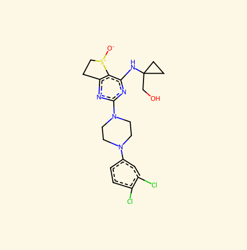 [O-][S+]1CCc2nc(N3CCN(c4ccc(Cl)c(Cl)c4)CC3)nc(NC3(CO)CC3)c21